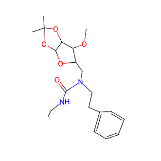 CCNC(=O)N(CCc1ccccc1)CC1OC2OC(C)(C)OC2C1OC